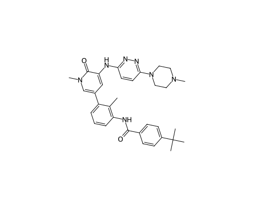 Cc1c(NC(=O)c2ccc(C(C)(C)C)cc2)cccc1-c1cc(Nc2ccc(N3CCN(C)CC3)nn2)c(=O)n(C)c1